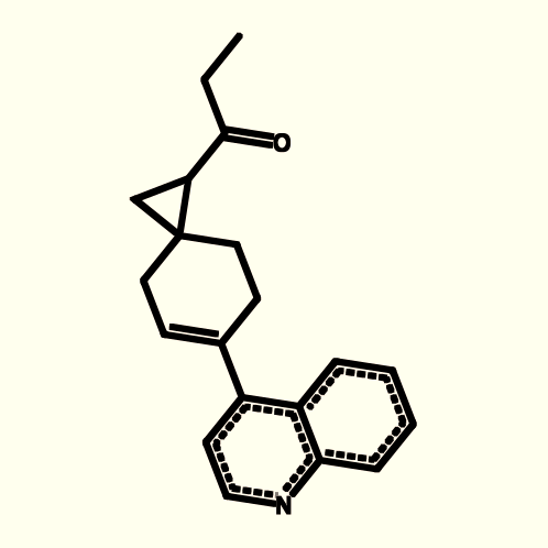 CCC(=O)C1CC12CC=C(c1ccnc3ccccc13)CC2